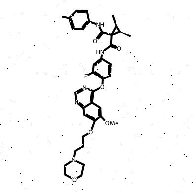 COc1cc2c(Oc3ccc(NC(=O)C4(C(=O)Nc5ccc(C)cc5)C(C)[C@H]4C)cc3F)ncnc2cc1OCCCN1CCOCC1